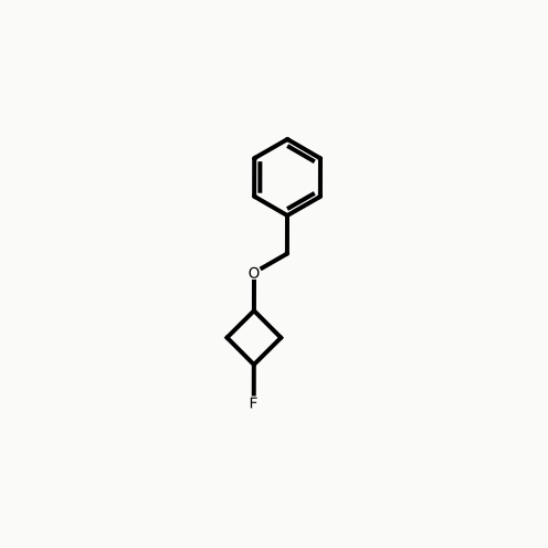 FC1CC(OCc2ccccc2)C1